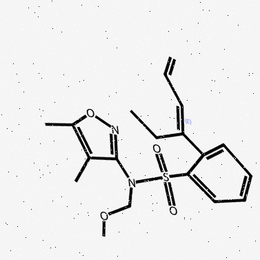 C=C/C=C(\CC)c1ccccc1S(=O)(=O)N(COC)c1noc(C)c1C